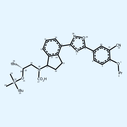 CC(C)Oc1ccc(-c2nc(-c3cccc4c3CCC4N(C[C@H](O[Si](C)(C)C(C)(C)C)C(C)(C)C)C(=O)O)no2)cc1C#N